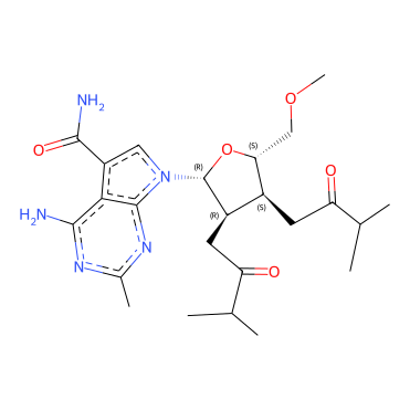 COC[C@H]1O[C@@H](n2cc(C(N)=O)c3c(N)nc(C)nc32)[C@H](CC(=O)C(C)C)[C@@H]1CC(=O)C(C)C